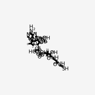 CC(C)C(=O)[C@@]1(n2cnc3c(N)ncnc32)O[C@H](COP(=O)(O)OP(=O)(O)OCC(C)(C)[C@@H](O)C(=O)NCCC(=O)NCCS)[C@@H](OP(=O)(O)O)[C@H]1O